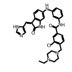 CCN1CCN(Cc2ccc(C(=O)Nc3cccc(Nc4ccc5c(c4)NC(=O)C5=Cc4cnc[nH]4)c3)cc2Cl)CC1